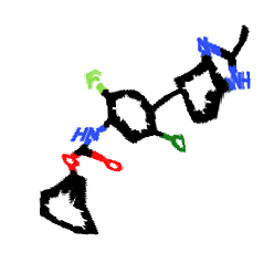 Cc1nc2cc(-c3cc(F)c(NC(=O)Oc4ccccc4)cc3Cl)ccc2[nH]1